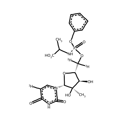 [2H]c1cn([C@@H]2O[C@H](C([2H])([2H])O[P@@](=O)(NC(C)C(=O)O)Oc3ccccc3)[C@@H](O)[C@@]2(C)O)c(=O)[nH]c1=O